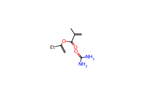 C=C(CC)OC(=O)C(=C)C.NC(N)=O